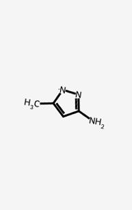 CC1=CC(N)=N[N]1